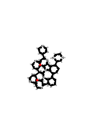 c1cc2c3ccc(-c4cnccn4)c4c5nc(-c6ccncc6)cnc5n(c(=C(c5ccncc5)c5ccncc5)n5c6nccnc6c(c1)c25)c34